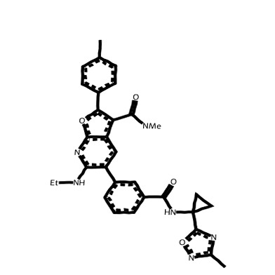 CCNc1nc2oc(-c3ccc(C)cc3)c(C(=O)NC)c2cc1-c1cccc(C(=O)NC2(c3nc(C)no3)CC2)c1